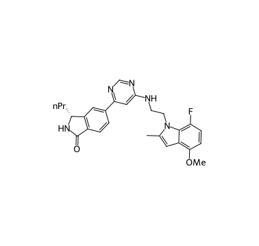 CCC[C@H]1NC(=O)c2ccc(-c3cc(NCCn4c(C)cc5c(OC)ccc(F)c54)ncn3)cc21